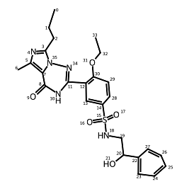 CCCc1nc(C)c2c(=O)[nH]c(-c3cc(S(=O)(=O)NCC(O)c4ccccc4)ccc3OCC)nn12